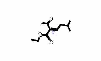 CCOC(=O)/C(=C/CC(C)C)C(C)=O